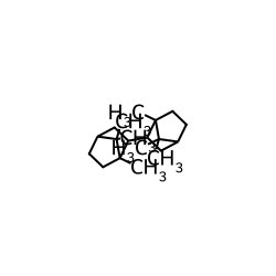 CC1(C)C2CCC1(C)C(C1CC3CCC1(C)C3(C)C)C2